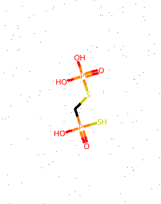 O=P(O)(S)CSP(=O)(O)O